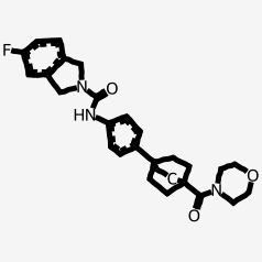 O=C(Nc1ccc(C23CCC(C(=O)N4CCOCC4)(CC2)CC3)cc1)N1Cc2ccc(F)cc2C1